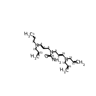 C=CCN(C=CCN(CC=CN(CC=C)CC=C)C(N)=O)CC=C